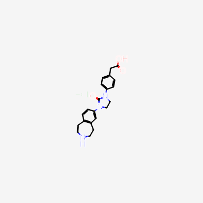 Cl.O=C(O)Cc1ccc(N2CCN(c3ccc4c(c3)CCNCC4)C2=O)cc1